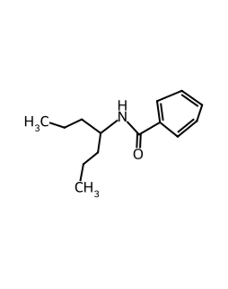 CCCC(CCC)NC(=O)c1ccccc1